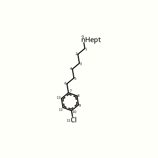 [CH2]CCCCCCCCCCCCc1ccc(Cl)cc1